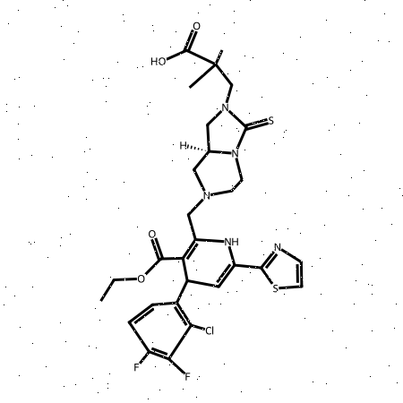 CCOC(=O)C1=C(CN2CCN3C(=S)N(CC(C)(C)C(=O)O)C[C@@H]3C2)NC(c2nccs2)=CC1c1ccc(F)c(F)c1Cl